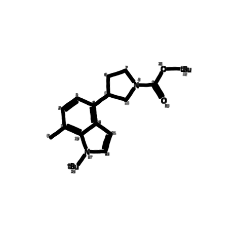 Cc1ccc(C2CCN(C(=O)OC(C)(C)C)C2)c2ccn(C(C)(C)C)c12